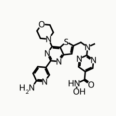 CN(Cc1cc2nc(-c3ccc(N)nc3)nc(N3CCOCC3)c2s1)c1ncc(C(=O)NO)cn1